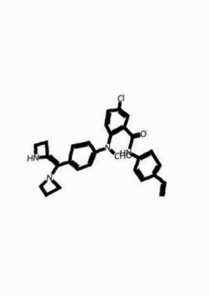 C=Cc1ccc(NC(=O)c2cc(Cl)ccc2N(C=O)c2ccc(C(=C3CCN3)N3CCC3)cc2)cc1